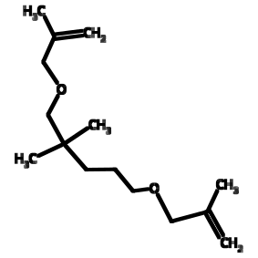 C=C(C)COCCCC(C)(C)COCC(=C)C